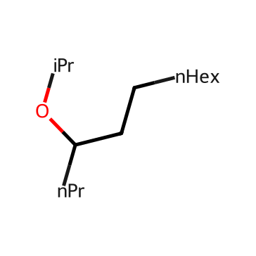 [CH2]CCC(CCCCCCCC)OC(C)C